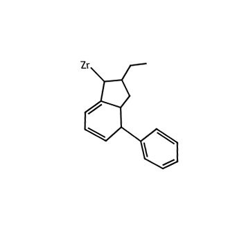 CCC1CC2C(=CC=CC2c2ccccc2)[CH]1[Zr]